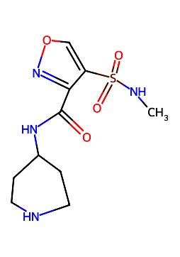 CNS(=O)(=O)c1conc1C(=O)NC1CCNCC1